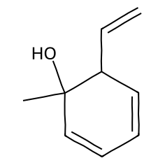 C=CC1C=CC=CC1(C)O